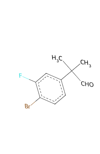 CC(C)(C=O)c1ccc(Br)c(F)c1